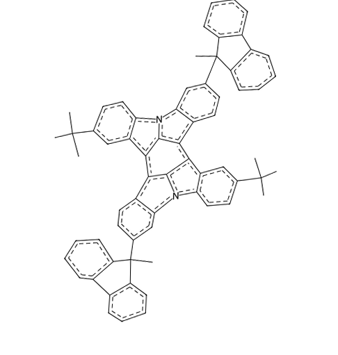 CC(C)(C)c1ccc2c(c1)c1c3c4ccc(C5(C)c6ccccc6-c6ccccc65)cc4n4c5ccc(C(C)(C)C)cc5c(c5c6ccc(C7(C)c8ccccc8-c8ccccc87)cc6n2c15)c34